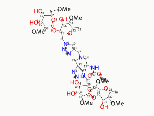 COCC1O[C@@H](O[C@@H]2C(Cn3cc(CN(CCNC(=O)OC(C)(C)C)Cc4cn(CC5O[C@@H](O[C@@H]6C(COC)OC(C)C(OC)[C@H]6O)C(OC)[C@@H](O)[C@@H]5O)nn4)nn3)OC(C)C(OC)[C@H]2O)C(OC)[C@@H](O)[C@@H]1O